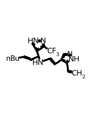 C=Cc1[nH]ncc1/C=C/NC(/C=C/CCCC)c1c[nH]nc1C(F)(F)F